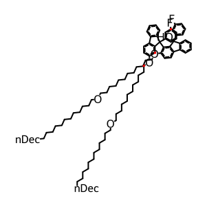 CCCCCCCCCCCCCCCCCCCCCCOCCCCCCCCCCCCOc1ccc2c(c1)C(c1cccc(F)c1)(c1c(OCCCCCCCCCCCCOCCCCCCCCCCCCCCCCCCCCCC)ccc3c1C(O)(c1cccc(F)c1)c1ccccc1-3)c1ccccc1-2